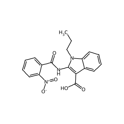 CCCn1c(NC(=O)c2ccccc2[N+](=O)[O-])c(C(=O)O)c2ccccc21